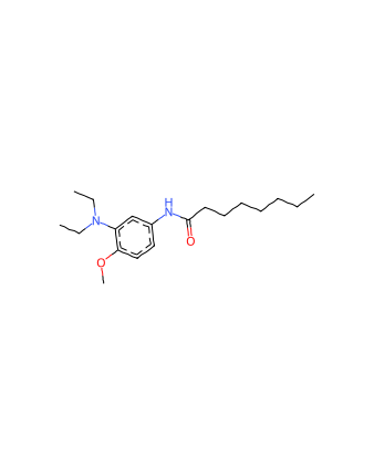 CCCCCCCC(=O)Nc1ccc(OC)c(N(CC)CC)c1